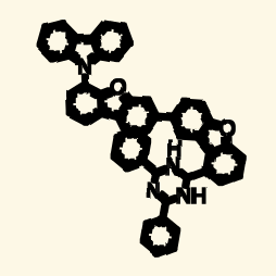 c1ccc(C2=NC(c3ccccc3)NC(c3cccc4oc5ccc(-c6ccc7c(c6)oc6c(-n8c9ccccc9c9ccccc98)cccc67)cc5c34)N2)cc1